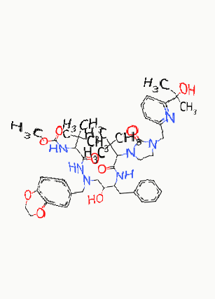 COC(=O)NC(C(=O)NN(Cc1ccc2c(c1)OCCO2)CC(O)C(Cc1ccccc1)NC(=O)C(N1CCN(Cc2cccc(C(C)(C)O)n2)C1=O)C(C)(C)C)C(C)(C)C